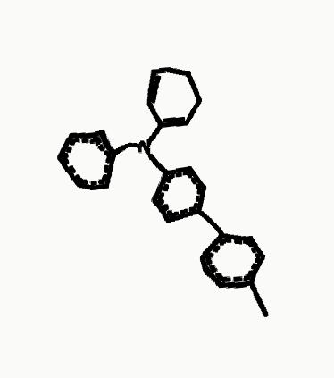 Cc1ccc(-c2ccc(N(C3=CCCC=C3)c3ccccc3)cc2)cc1